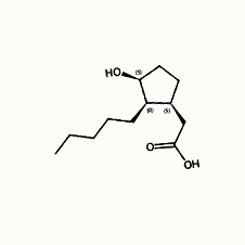 CCCCC[C@@H]1[C@H](CC(=O)O)CC[C@@H]1O